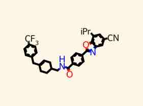 CC(C)c1cc(C#N)cc2nc(-c3ccc(C(=O)NCC4CC=C(Cc5ccc(C(F)(F)F)cc5)CC4)cc3)oc12